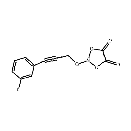 O=c1on(OCC#Cc2cccc(F)c2)oc1=O